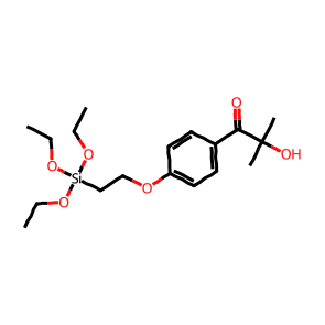 CCO[Si](CCOc1ccc(C(=O)C(C)(C)O)cc1)(OCC)OCC